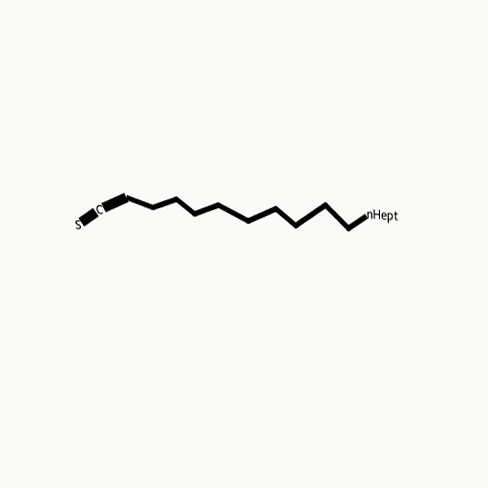 CCCCCCCCCCCCCCCCC=C=S